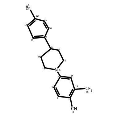 N#Cc1ccc(N2CCC(c3ccc(Br)cc3)CC2)cc1C(F)(F)F